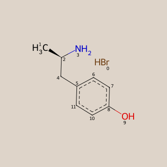 Br.C[C@@H](N)Cc1ccc(O)cc1